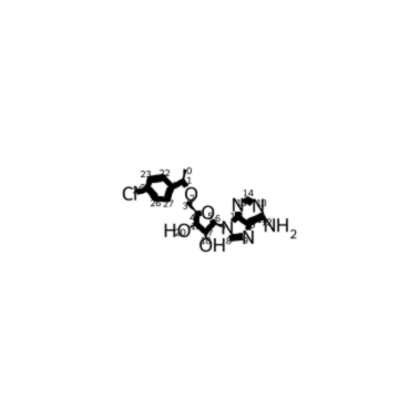 C[C@@H](OC[C@H]1O[C@@H](n2cnc3c(N)ncnc32)[C@H](O)[C@@H]1O)c1ccc(Cl)cc1